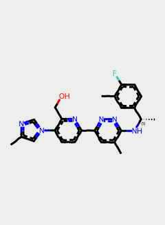 Cc1cn(-c2ccc(-c3cc(C)c(N[C@@H](C)c4ccc(F)c(C)c4)nn3)nc2CO)cn1